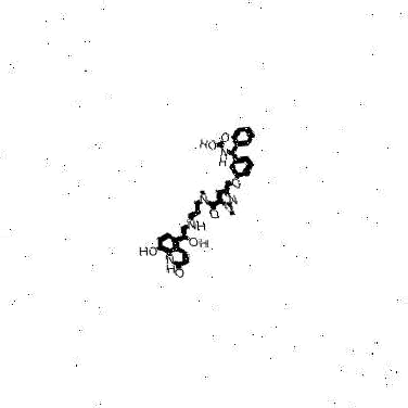 CN(CCCNCC(O)c1ccc(O)c2[nH]c(=O)ccc12)C(=O)c1cc(COc2cccc(C(NC(=O)O)c3ccccc3)c2)nn1C